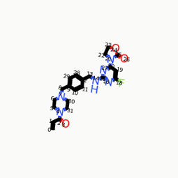 C=CC(=O)N1CCN(Cc2ccc(CNc3nc(F)cc(N4CCOC4=O)n3)cc2)CC1